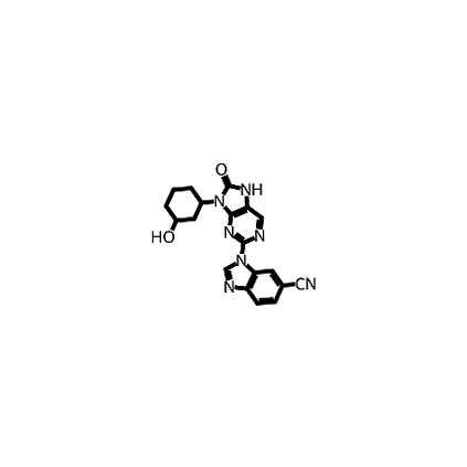 N#Cc1ccc2ncn(-c3ncc4[nH]c(=O)n(C5CCCC(O)C5)c4n3)c2c1